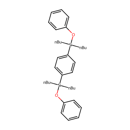 CCCC[Si](CCCC)(Oc1ccccc1)c1ccc([Si](CCCC)(CCCC)Oc2ccccc2)cc1